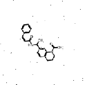 CC(=O)N1CCCc2ccc(C(C)NC(=O)/C=C\c3ccccc3)cc21